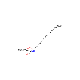 CCCCCCCC/C=C/CCCCCCCCCCCCCCCC(=O)N[C@@H](CO)[C@H](O)/C=C/CCCCCCCCCC